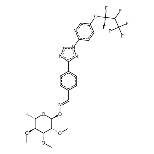 CO[C@@H]1[C@@H](OC)[C@H](C)O[C@@H](O/N=C/c2ccc(-c3ncn(-c4ccc(OC(F)(F)C(F)C(F)(F)F)cn4)n3)cc2)[C@@H]1OC